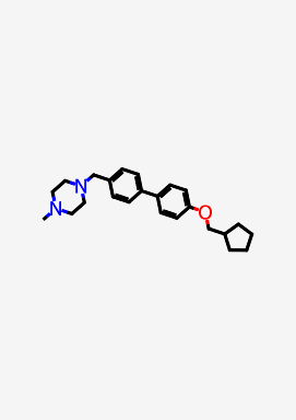 CN1CCN(Cc2ccc(-c3ccc(OCC4CCCC4)cc3)cc2)CC1